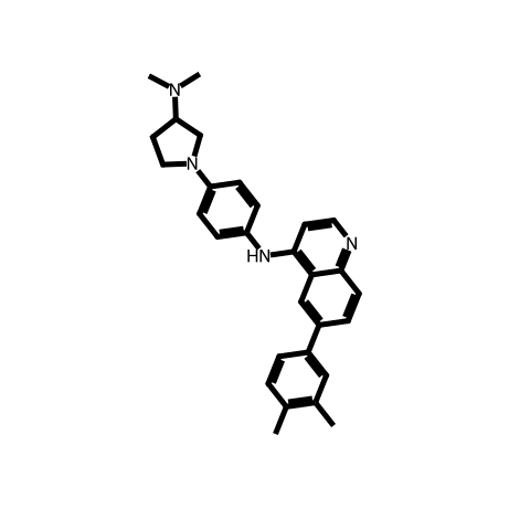 Cc1ccc(-c2ccc3nccc(Nc4ccc(N5CCC(N(C)C)C5)cc4)c3c2)cc1C